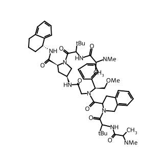 CNC(C)C(=O)NC(C(=O)N1Cc2ccccc2CC1C(=O)N(CC(=O)N[C@H]1C[C@@H](C(=O)N[C@@H]2CCCc3ccccc32)N(C(=O)C(NC(=O)C(C)NC)C(C)(C)C)C1)[C@H](COC)c1ccccc1)C(C)(C)C